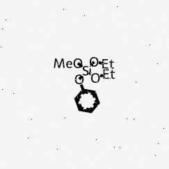 CCO[Si](OC)(OCC)Oc1ccccc1